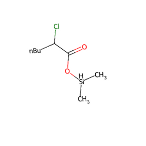 CCCCC(Cl)C(=O)O[SiH](C)C